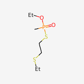 CCOP(C)(=O)SCCSCC